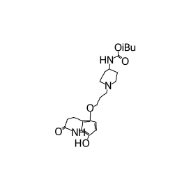 CC(C)COC(=O)NC1CCN(CCCOc2ccc(O)c3c2CCC(=O)N3)CC1